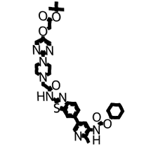 Cc1ncc(-c2ccc3nc(NC(=O)CN4CCN(c5ncc(OCC(=O)OC(C)(C)C)cn5)CC4)sc3c2)cc1NC(=O)OC1CCCCC1